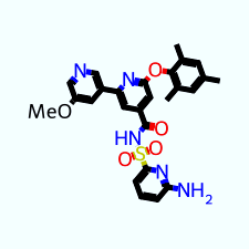 COc1cncc(-c2cc(C(=O)NS(=O)(=O)c3cccc(N)n3)cc(Oc3c(C)cc(C)cc3C)n2)c1